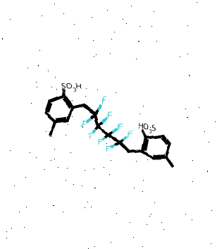 Cc1ccc(S(=O)(=O)O)c(CC(F)(F)C(F)(F)C(F)(F)C(F)(F)Cc2cc(C)ccc2S(=O)(=O)O)c1